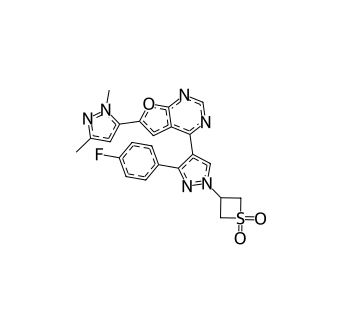 Cc1cc(-c2cc3c(-c4cn(C5CS(=O)(=O)C5)nc4-c4ccc(F)cc4)ncnc3o2)n(C)n1